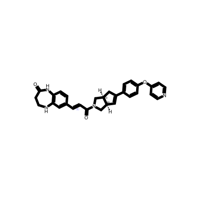 O=C1CCNc2cc(/C=C/C(=O)N3C[C@H]4CC(c5ccc(Oc6ccncc6)cc5)=C[C@H]4C3)ccc2N1